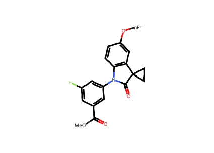 CCCOc1ccc2c(c1)C1(CC1)C(=O)N2c1cc(F)cc(C(=O)OC)c1